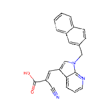 N#C/C(=C\c1cn(Cc2ccc3ccccc3c2)c2ncccc12)C(=O)O